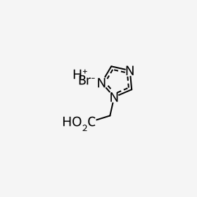 O=C(O)Cn1cncn1.[Br-].[H+]